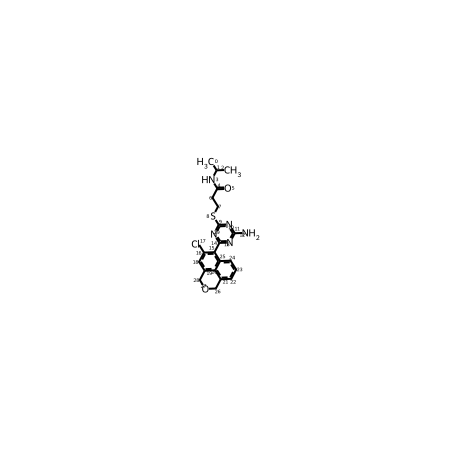 CC(C)NC(=O)CCSc1nc(N)nc(-c2c(Cl)cc3c4c(cccc24)COC3)n1